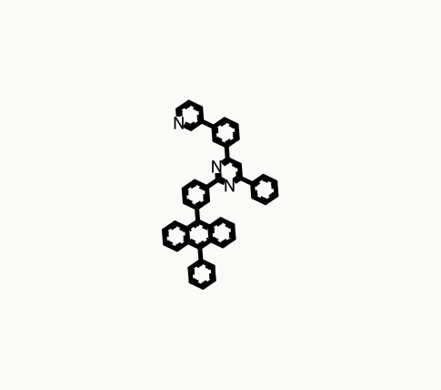 c1ccc(-c2cc(-c3cccc(-c4cccnc4)c3)nc(-c3cccc(-c4c5ccccc5c(-c5ccccc5)c5ccccc45)c3)n2)cc1